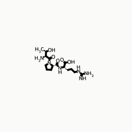 C[C@@H](O)[C@H](N)C(=O)N1CCC[C@H]1C(=O)N[C@@H](CCCNC(=N)N)C(=O)O